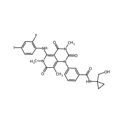 Cc1c(=O)n(C)c(Nc2ccc(I)cc2F)c2c(=O)n(C)c(=O)n(-c3cccc(C(=O)NC4(CO)CC4)c3)c12